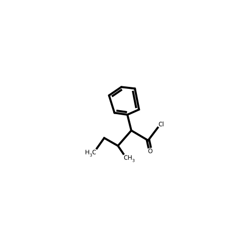 CCC(C)C(C(=O)Cl)c1ccccc1